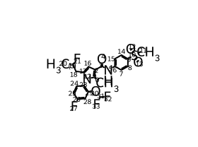 Cc1c(C(=O)Nc2ccc(S(C)(=O)=O)cc2)cc(C[C@H](C)F)n1-c1ccc(F)cc1OC(F)F